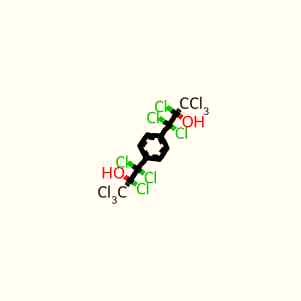 OC(Cl)(C(Cl)(Cl)Cl)C(Cl)(Cl)c1ccc(C(Cl)(Cl)C(O)(Cl)C(Cl)(Cl)Cl)cc1